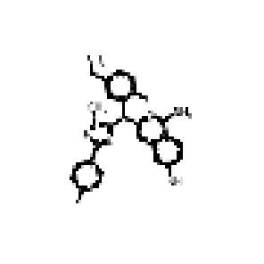 CCc1ccc(F)c(C(c2cc3cc(N)ccc3c(N)n2)c2nc(-c3ccc(Cl)cc3)nn2C)c1